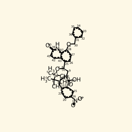 CC(C)(C)[Si](C)(C)O[C@H](CN(CCc1ccc([N+](=O)[O-])cc1)C(=O)O)c1ccc(OCc2ccccc2)c2[nH]c(=O)ccc12